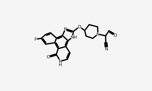 N#CC(C=O)N1CCC(Oc2nc3c4ccc(F)cc4c4c(=O)[nH]ccc4c3[nH]2)CC1